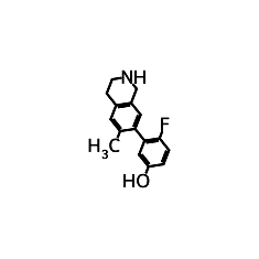 Cc1cc2c(cc1-c1cc(O)ccc1F)CNCC2